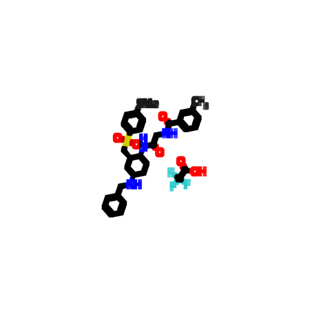 CSc1ccc(S(=O)(=O)C[C@@H]2C[C@H](NCc3ccccc3)CC[C@@H]2NC(=O)CNC(=O)c2cccc(C(F)(F)F)c2)cc1.O=C(O)C(F)(F)F